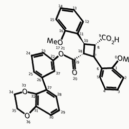 COc1ccccc1C1[C@@H](C(=O)O)[C@H](c2ccccc2OC)[C@H]1C(=O)Oc1cccc(-c2cccc3c2OCCO3)c1